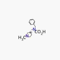 CN1CC[C@@H](CN(Cc2ccccc2)C(=O)O)C1